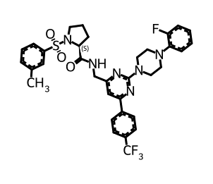 Cc1cccc(S(=O)(=O)N2CCC[C@H]2C(=O)NCc2cc(-c3ccc(C(F)(F)F)cc3)nc(N3CCN(c4ccccc4F)CC3)n2)c1